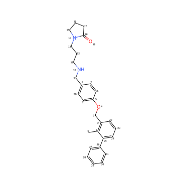 Cc1c(COc2ccc(CNCCCN3CCCC3=O)cc2)cccc1-c1ccccc1